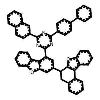 c1ccc(-c2ccc(-c3nc(-c4ccc5ccccc5c4)nc(-c4cc(C5Cc6ccccc6-c6c5oc5ccccc65)cc5oc6ccccc6c45)n3)cc2)cc1